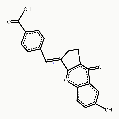 O=C(O)c1ccc(/C=C2\CCc3c2oc2ccc(O)cc2c3=O)cc1